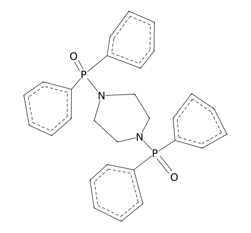 O=P(c1ccccc1)(c1ccccc1)N1CCN(P(=O)(c2ccccc2)c2ccccc2)CC1